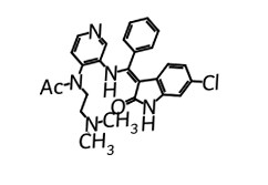 CC(=O)N(CCN(C)C)c1ccncc1N/C(=C1\C(=O)Nc2cc(Cl)ccc21)c1ccccc1